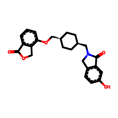 O=C1OCc2c(OC[C@H]3CC[C@H](CN4Cc5ccc(O)cc5C4=O)CC3)cccc21